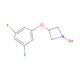 Fc1cc(F)cc(OC2CN(S)C2)c1